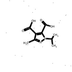 Cc1nn(C(C)C)c(C(=O)O)c1C(=O)O